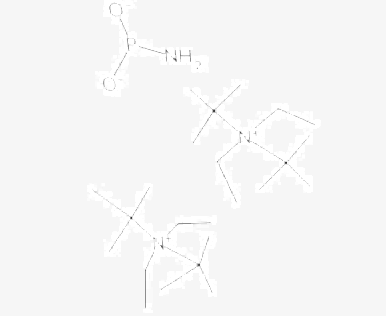 CC[N+](CC)(C(C)(C)C)C(C)(C)C.CC[N+](CC)(C(C)(C)C)C(C)(C)C.NP([O-])[O-]